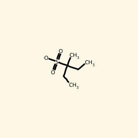 CCC(C)(CC)S([O])(=O)=O